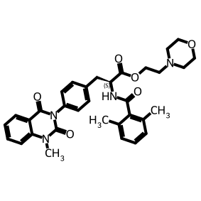 Cc1cccc(C)c1C(=O)N[C@@H](Cc1ccc(-n2c(=O)c3ccccc3n(C)c2=O)cc1)C(=O)OCCN1CCOCC1